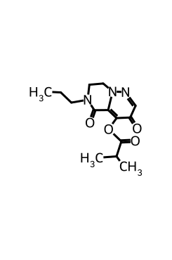 CCCN1CCn2ncc(=O)c(OC(=O)C(C)C)c2C1=O